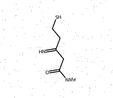 CNC(=O)CC(=N)CCS